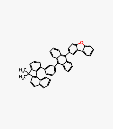 CC1(C)c2cccc(-c3cccc(-c4c5ccccc5c(-c5ccc6oc7ccccc7c6c5)c5ccccc45)c3)c2-c2c1ccc1ccccc21